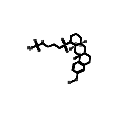 CCOc1ccc2c(c1)CCN1C[C@@H]3CCCN(S(=O)(=O)CCCNS(C)(=O)=O)[C@@H]3C[C@@H]21